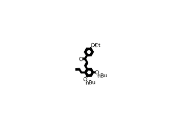 C=CCc1c(C=CC(=O)c2ccc(OCC)cc2)cc(OCCCC)cc1OCCCC